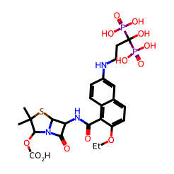 CCOc1ccc2cc(NCCC(O)(P(=O)(O)O)P(=O)(O)O)ccc2c1C(=O)NC1C(=O)N2C1SC(C)(C)C2OC(=O)O